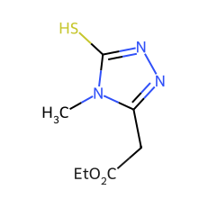 CCOC(=O)Cc1nnc(S)n1C